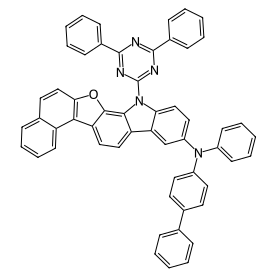 c1ccc(-c2ccc(N(c3ccccc3)c3ccc4c(c3)c3ccc5c(oc6ccc7ccccc7c65)c3n4-c3nc(-c4ccccc4)nc(-c4ccccc4)n3)cc2)cc1